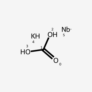 O=C(O)O.[KH].[Nb]